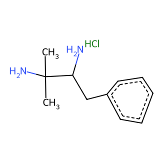 CC(C)(N)C(N)Cc1ccccc1.Cl